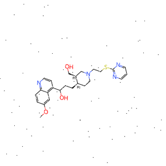 COc1ccc2nccc(C(O)CC[C@@H]3CCN(CCSc4ncccn4)C[C@@H]3CO)c2c1